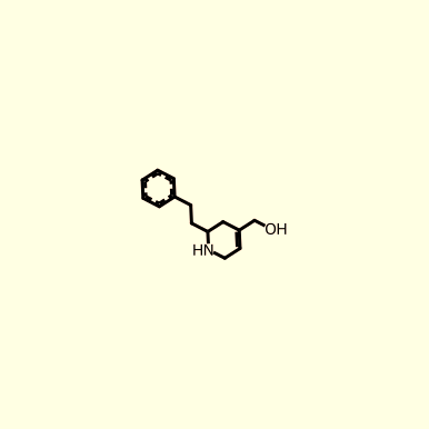 OCC1=CCNC(CCc2ccccc2)C1